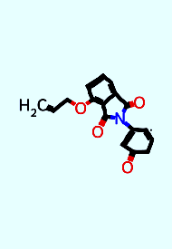 C=CCOc1cccc2c1C(=O)N(C1=CC(=O)CC=[C]1)C2=O